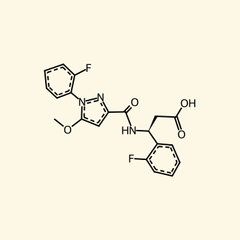 COc1cc(C(=O)N[C@@H](CC(=O)O)c2ccccc2F)nn1-c1ccccc1F